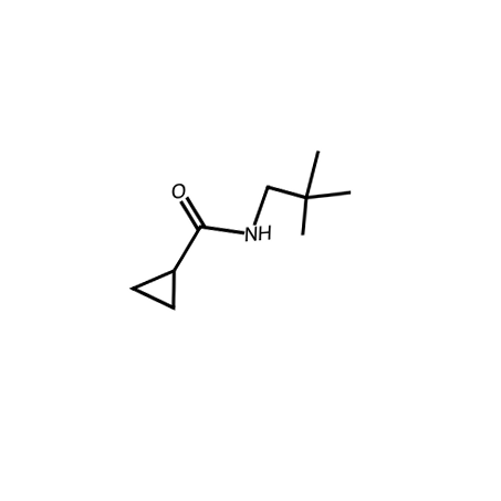 CC(C)(C)CNC(=O)C1CC1